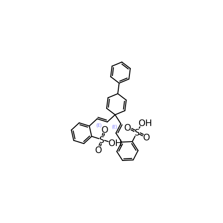 O=S(=O)(O)c1ccccc1/C=C/C1(/C=C/c2ccccc2S(=O)(=O)O)C=CC(c2ccccc2)C=C1